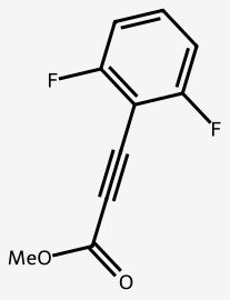 COC(=O)C#Cc1c(F)cccc1F